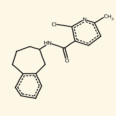 Cc1ccc(C(=O)NC2CCCc3ccccc3C2)c(Cl)n1